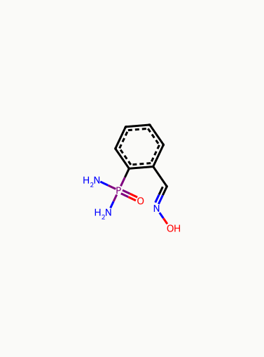 NP(N)(=O)c1ccccc1C=NO